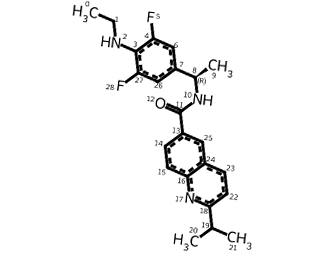 CCNc1c(F)cc([C@@H](C)NC(=O)c2ccc3nc(C(C)C)ccc3c2)cc1F